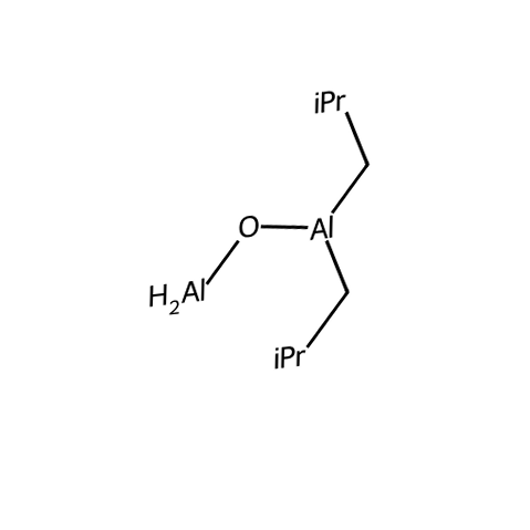 CC(C)[CH2][Al]([CH2]C(C)C)[O][AlH2]